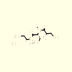 CC(C)C[C@@H](N)C(=O)N(C)[C@@H](CC(C)C)C(=O)N[C@@H](CC(C)C)C(=O)O